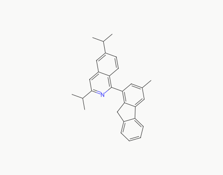 Cc1cc2c(c(-c3nc(C(C)C)cc4cc(C(C)C)ccc34)c1)Cc1ccccc1-2